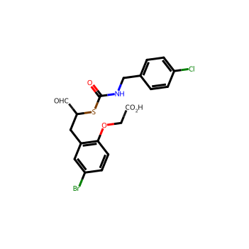 O=CC(Cc1cc(Br)ccc1OCC(=O)O)SC(=O)NCc1ccc(Cl)cc1